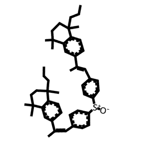 CCCC1(C)CCC(C)(C)c2cc(C(C)=Cc3ccc([S+]([O-])c4ccc(C=C(C)c5ccc6c(c5)C(C)(C)CCC6(C)CCC)cc4)cc3)ccc21